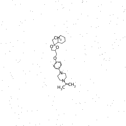 C=C(C)N1CCN(c2ccc(OCC3COC(CC)(C4CCCCC4)O3)cc2)CC1